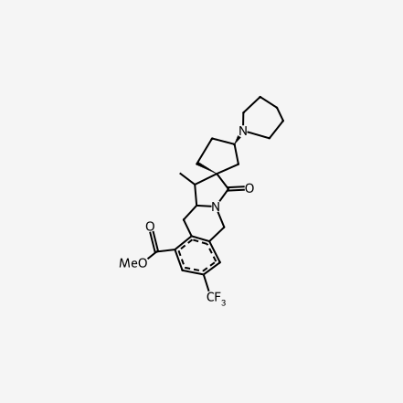 COC(=O)c1cc(C(F)(F)F)cc2c1CC1C(C)[C@@]3(CC[C@@H](N4CCCCC4)C3)C(=O)N1C2